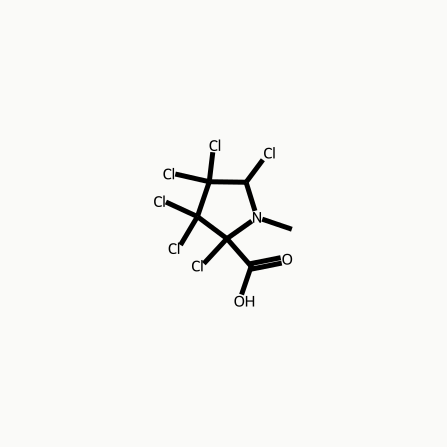 CN1C(Cl)C(Cl)(Cl)C(Cl)(Cl)C1(Cl)C(=O)O